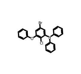 Clc1c(Oc2ccccc2)cc(Br)cc1N(c1ccccc1)c1ccccc1